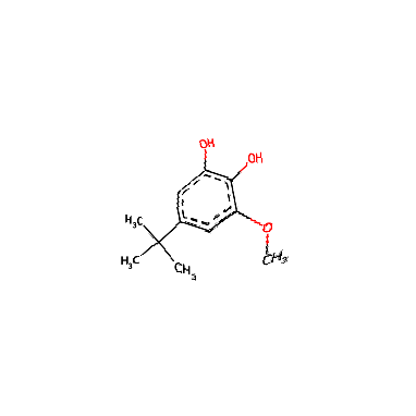 COc1cc(C(C)(C)C)cc(O)c1O